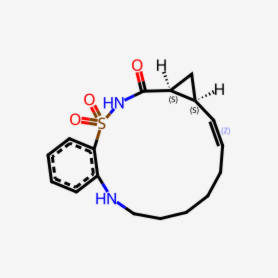 O=C1NS(=O)(=O)c2ccccc2NCCCCC/C=C\[C@@H]2C[C@H]12